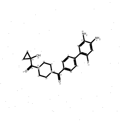 Nc1cc(F)c(-c2ccc(C(=O)N3CCN(C(=O)C4(O)CC4)CC3)cc2)cc1N